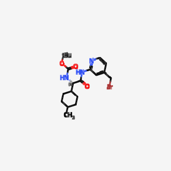 CC1CCC([C@H](NC(=O)OC(C)(C)C)C(=O)Nc2cc(CBr)ccn2)CC1